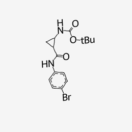 CC(C)(C)OC(=O)NC1CC1C(=O)Nc1ccc(Br)cc1